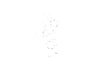 O=C(O)c1ccc(-c2nn(C(=O)c3c(Cl)cccc3C(F)(F)F)c3c2CCC3)c(F)c1